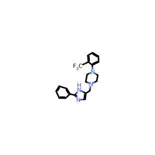 FC(F)(F)c1ccccc1N1CCN(Cc2cnc(-c3ccccc3)[nH]2)CC1